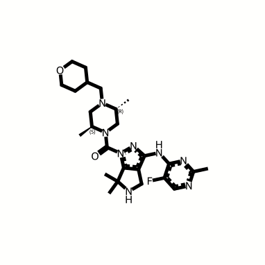 Cc1ncc(F)c(Nc2nn(C(=O)N3C[C@@H](C)N(CC4CCOCC4)C[C@@H]3C)c3c2CNC3(C)C)n1